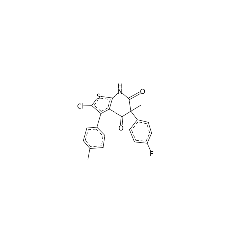 Cc1ccc(-c2c(Cl)sc3c2C(=O)C(C)(c2ccc(F)cc2)C(=O)N3)cc1